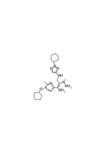 Cc1nc(/C(N)=C(\CNc2cnn(C3CCCCC3)n2)N(C)N)ccc1OC1CCCCC1